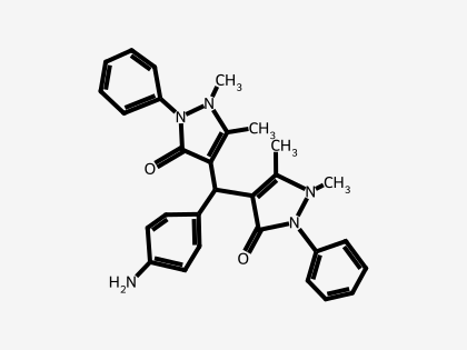 Cc1c(C(c2ccc(N)cc2)c2c(C)n(C)n(-c3ccccc3)c2=O)c(=O)n(-c2ccccc2)n1C